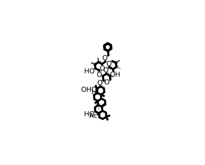 CC(=O)[C@]12CCC(C)(C)CC1C1=CCC3C4(C)CC[C@H](O[C@@H]5OC[C@@H](O)[C@H](O[C@@H]6OC[C@@H](C)[C@H](C)C6C)C5O[C@@H]5OC(COCc6ccccc6)[C@H](C)[C@H](C)C5O)[C@](C)(C=O)[C@@H]4CCC3(C)[C@]1(C)CC2O